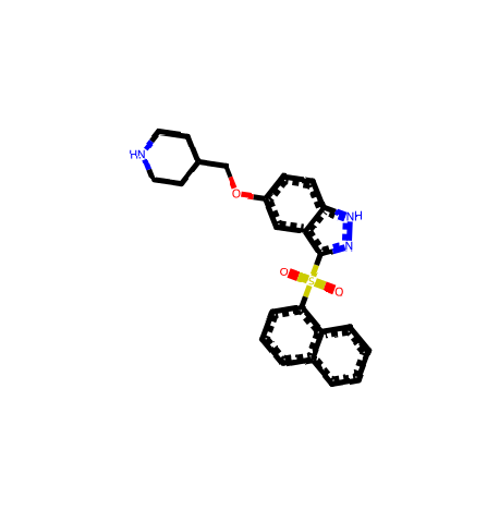 O=S(=O)(c1cccc2ccccc12)c1n[nH]c2ccc(OCC3CCNCC3)cc12